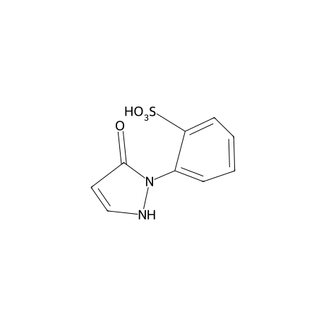 O=c1cc[nH]n1-c1ccccc1S(=O)(=O)O